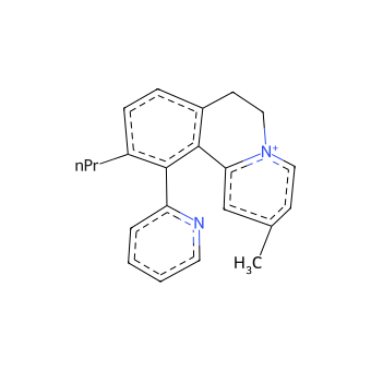 CCCc1ccc2c(c1-c1ccccn1)-c1cc(C)cc[n+]1CC2